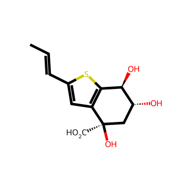 CC=Cc1cc2c(s1)[C@@H](O)[C@H](O)C[C@]2(O)C(=O)O